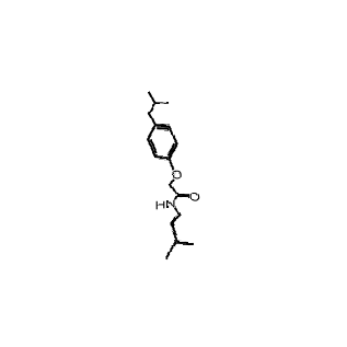 CC(C)CCNC(=O)COc1ccc(CC(C)C)cc1